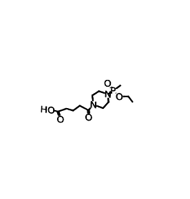 CCOP(C)(=O)N1CCN(C(=O)CCCC(=O)O)CC1